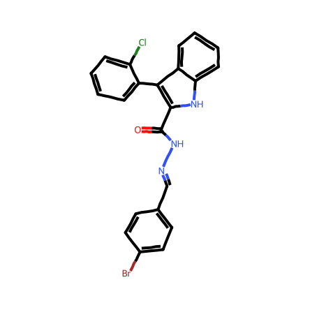 O=C(NN=Cc1ccc(Br)cc1)c1[nH]c2ccccc2c1-c1ccccc1Cl